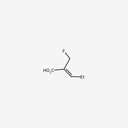 CCC=C(CF)C(=O)O